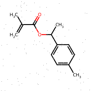 C=C(C)C(=O)OC(C)c1ccc(C)cc1